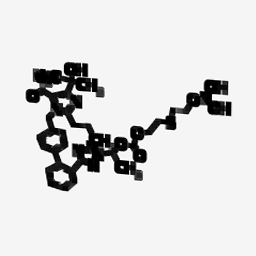 CCCc1nc(C(C)(C)O)c(C(=O)O)n1Cc1ccc(-c2ccccc2-c2nnn(C(C)OC(=O)OCCSCCON(O)O)n2)cc1